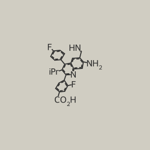 CC(C)c1c(-c2ccc(C(=O)O)cc2F)nc2cc(N)c(C=N)cc2c1-c1ccc(F)cc1